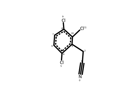 N#CCc1c(Cl)ccc(Cl)c1Cl